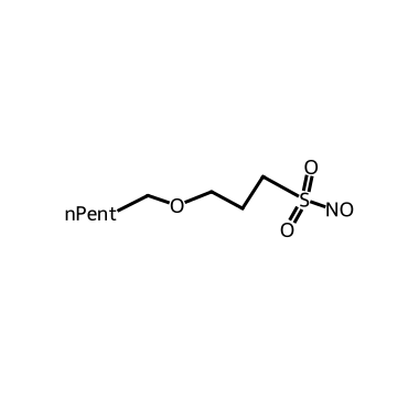 CCCCCCOCCCS(=O)(=O)N=O